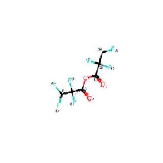 O=C(OC(=O)C(F)(F)C(F)F)C(F)(F)CF